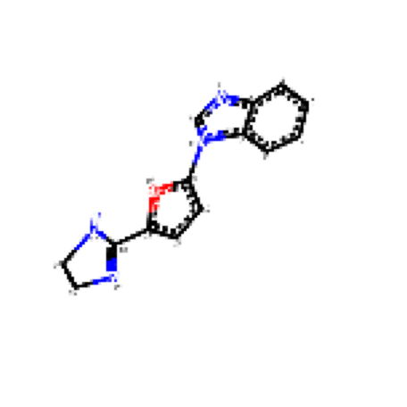 c1ccc2c(c1)ncn2-c1ccc(C2=NCCN2)o1